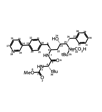 COC(=O)N[C@H](C(=O)N[C@@H](Cc1ccc(-c2cccnc2)cc1)C[C@H](O)[C@H](Cc1ccccc1)N(C(=O)O)C(C)(C)C)C(C)(C)C